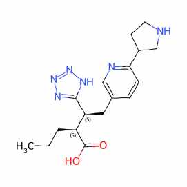 CCC[C@H](C(=O)O)[C@H](Cc1ccc(C2CCNC2)nc1)c1nnn[nH]1